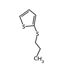 CCCSc1cccs1